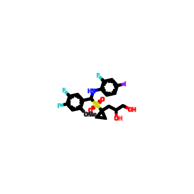 COc1cc(F)c(F)cc1C(Nc1ccc(I)cc1F)S(=O)(=O)C1(CC(O)CO)CC1